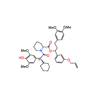 C=CCOc1cccc(C(CCc2ccc(OC)c(OC)c2)OC(=O)C2CCCCN2C(=O)[C@H](c2cc(OC)c(O)c(OC)c2)C2CCCCC2)c1